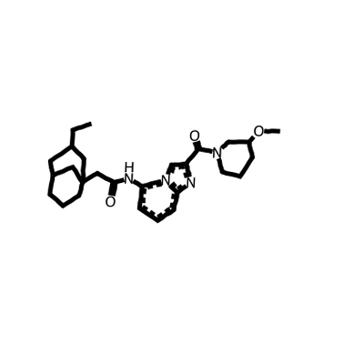 CCC1CC2CCCC(CC(=O)Nc3cccc4nc(C(=O)N5CCCC(OC)C5)cn34)(C1)C2